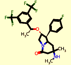 CNC1(C)CC(=O)N2C[C@H](O[C@H](C)c3cc(C(F)(F)F)cc(C(F)(F)F)c3)[C@@H](c3ccc(F)cc3)C2C1